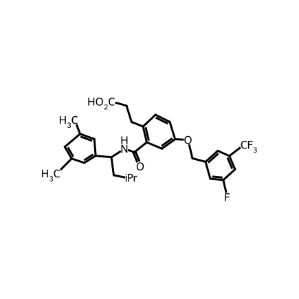 Cc1cc(C)cc(C(CC(C)C)NC(=O)c2cc(OCc3cc(F)cc(C(F)(F)F)c3)ccc2CCC(=O)O)c1